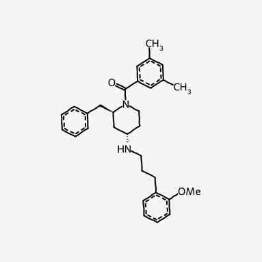 COc1ccccc1CCCN[C@H]1CCN(C(=O)c2cc(C)cc(C)c2)[C@H](Cc2ccccc2)C1